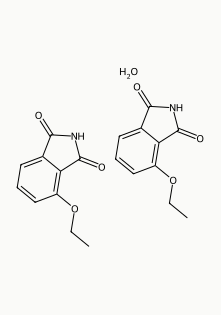 CCOc1cccc2c1C(=O)NC2=O.CCOc1cccc2c1C(=O)NC2=O.O